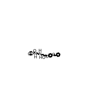 O=C(NCCNCCC(O)COc1ccc(OCc2ccccc2)cc1)N1CCOCC1